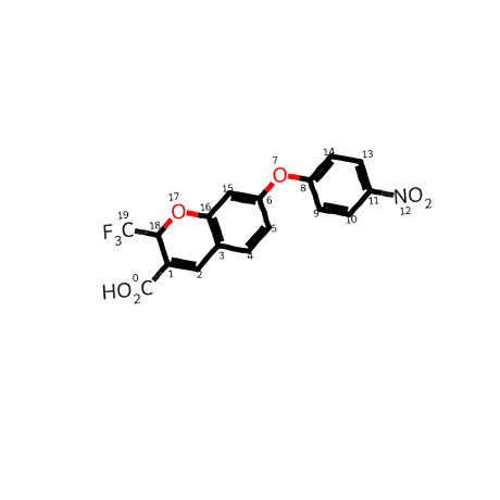 O=C(O)C1=Cc2ccc(Oc3ccc([N+](=O)[O-])cc3)cc2OC1C(F)(F)F